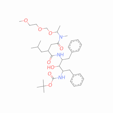 COCCOCOC(C)N(C)C(=O)CC(CC(C)C)C(=O)NC(Cc1ccccc1)C(O)C(Cc1ccccc1)NC(=O)OC(C)(C)C